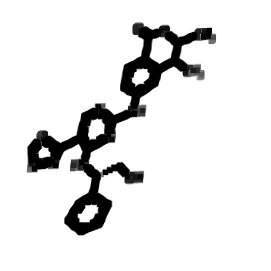 CC1OC(=O)c2ccc(Nc3ncc(-c4nnco4)c(N[C@H](CO)c4ccccc4)n3)cc2C1C